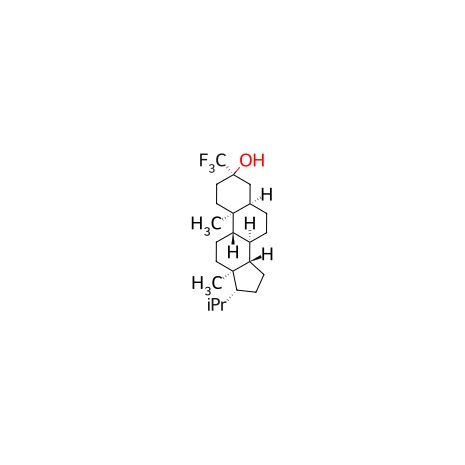 CC(C)[C@H]1CC[C@H]2[C@@H]3CC[C@@H]4C[C@@](O)(C(F)(F)F)CC[C@]4(C)[C@H]3CC[C@]12C